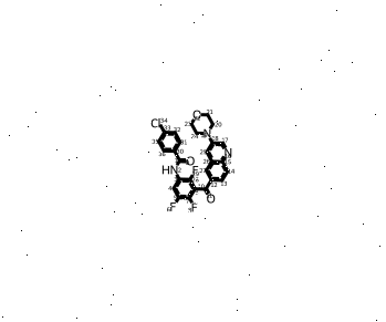 O=C(Nc1cc(F)c(F)c(C(=O)c2ccc3ncc(N4CCOCC4)cc3c2)c1F)c1ccc(Cl)cc1